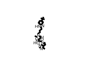 Cc1ncnc2c1ccn2C1O[C@@H]2CN(CCCCc3nc4cc(C(C)(C)C)ccc4[nH]3)C(C)O[C@H]2C1O